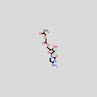 CC(=O)COCC(=O)OCC1OC(n2ccc(N)nc2=O)C(F)(F)C1O